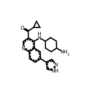 NC1CCC(Nc2c(C(=O)C3CC3)cnc3ccc(-c4cn[nH]c4)cc23)CC1